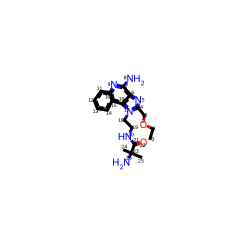 CCOCc1nc2c(N)nc3ccccc3c2n1CCNC(=O)C(C)(C)N